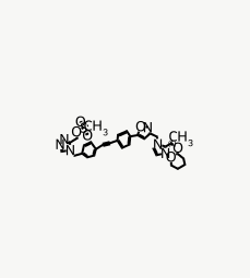 C[C@H](OC1CCCCO1)c1nccn1Cc1cc(-c2ccc(C#Cc3ccc(Cn4cnnc4COS(C)(=O)=O)cc3)cc2)on1